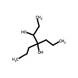 [CH2]CC(O)C(O)(CCC)CCC